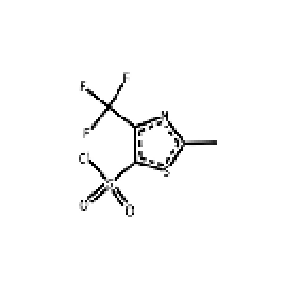 Cc1nc(C(F)(F)F)c(S(=O)(=O)Cl)s1